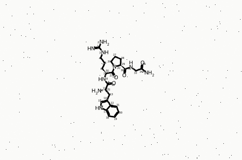 N=C(N)NCCC[C@H](NC(=O)[C@@H](N)Cc1c[nH]c2ccccc12)C(=O)N1CCC[C@H]1C(=O)NCC(N)=O